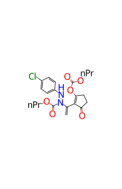 C=C(C1=C(OC(=O)OCCC)CCC1=O)N(Nc1ccc(Cl)cc1)C(=O)OCCC